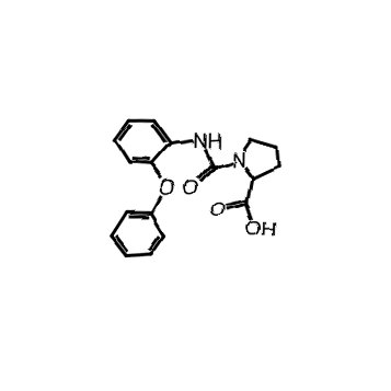 O=C(O)C1CCCN1C(=O)Nc1ccccc1Oc1ccccc1